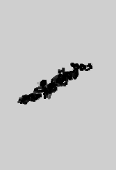 CC1(C)CCC(c2ccc(Cl)cc2)=C(CN2CCN(c3ccc(C(=O)NS(=O)(=O)c4ccc(N[C@H](CCN5CCN(CP(=O)(O)O)CC5)C[S+]([O-])c5ccccc5)c(S(=O)(=O)C(F)(F)F)c4)cc3)CC2)C1